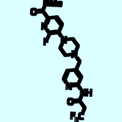 CNC(=O)c1ccc(N2CCN(Cc3ccnc(NC(=O)CC(F)(F)F)c3)CC2)c(F)n1